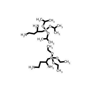 CC(C)O[Si](CC(N)CCN)(OC(C)C)OC(C)C.CCO[Si](CC(N)CCN)(OCC)OCC